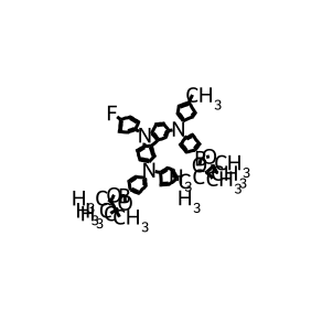 Cc1ccc(N(c2ccc(B3OC(C)(C)C(C)(C)O3)cc2)c2ccc3c(c2)c2cc(N(c4ccc(C)cc4)c4ccc(B5OC(C)(C)C(C)(C)O5)cc4)ccc2n3-c2ccc(F)cc2)cc1